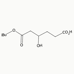 CCC(C)OC(=O)CC(O)CCC(=O)O